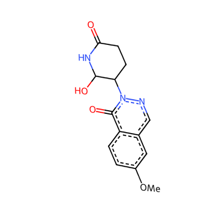 COc1ccc2c(=O)n(C3CCC(=O)NC3O)ncc2c1